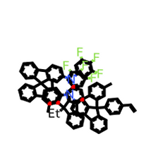 C=Cc1ccc(C2(c3cc(C)ccc3C)c3ccccc3-c3ccc(N(c4cc(F)c(F)c(F)c4)c4ccc5c(c4)C4(c6ccccc6-c6ccc(N(c7cc(F)c(F)c(F)c7)c7ccc8c(c7)C(CC)(c7cc(C)ccc7C)c7ccccc7-8)cc64)c4ccccc4-5)cc32)cc1